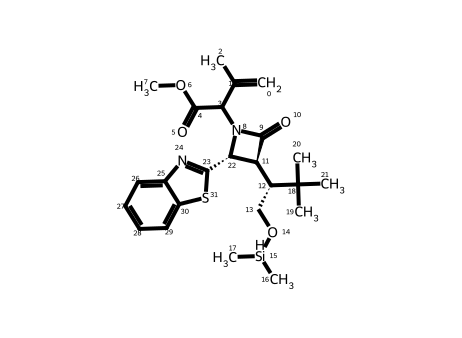 C=C(C)C(C(=O)OC)N1C(=O)[C@@H]([C@@H](CO[SiH](C)C)C(C)(C)C)[C@@H]1c1nc2ccccc2s1